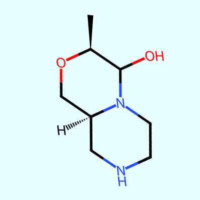 C[C@@H]1OC[C@@H]2CNCCN2C1O